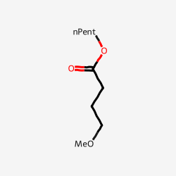 CCCCCOC(=O)CCCOC